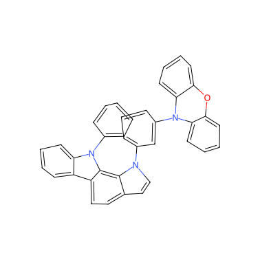 c1ccc(-n2c3ccccc3c3ccc4ccn(-c5cccc(N6c7ccccc7Oc7ccccc76)c5)c4c32)cc1